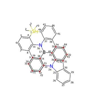 C[SH]1(C)(C)c2cccc(-c3ccccc3)c2N(B2c3ccccc3-n3c4ccccc4c4cccc2c43)c2c(-c3ccccc3)cccc21